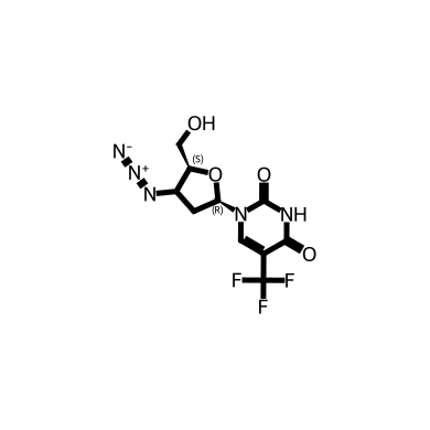 [N-]=[N+]=NC1C[C@H](n2cc(C(F)(F)F)c(=O)[nH]c2=O)O[C@@H]1CO